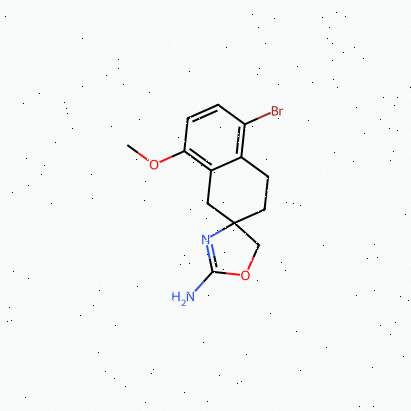 COc1ccc(Br)c2c1CC1(CC2)COC(N)=N1